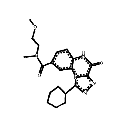 COCCN(C)C(=O)c1ccc2[nH]c(=O)c3nnc(C4CCCCC4)n3c2c1